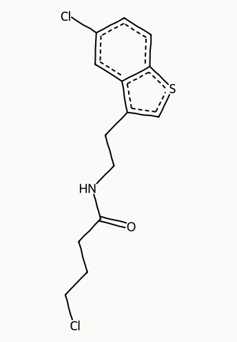 O=C(CCCCl)NCCc1csc2ccc(Cl)cc12